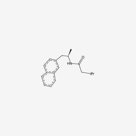 CC(C)CC(=O)N[C@H](C)Cc1ccc2ccccc2c1